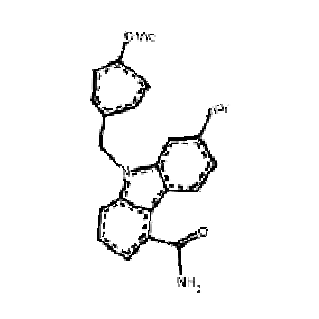 CCCc1c[c]c2c3c(C(N)=O)cccc3n(Cc3ccc(OC)cc3)c2c1